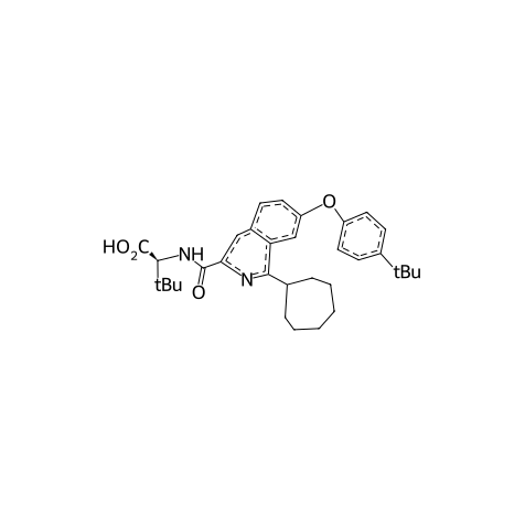 CC(C)(C)c1ccc(Oc2ccc3cc(C(=O)N[C@H](C(=O)O)C(C)(C)C)nc(C4CCCCCC4)c3c2)cc1